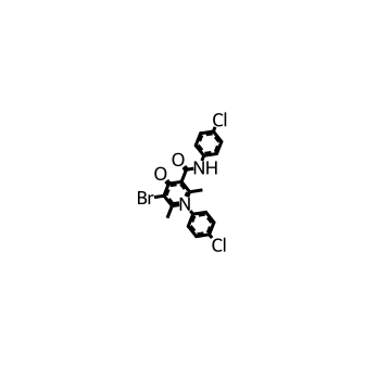 Cc1c(Br)c(=O)c(C(=O)Nc2ccc(Cl)cc2)c(C)n1-c1ccc(Cl)cc1